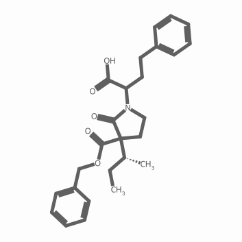 CC[C@@H](C)C1(C(=O)OCc2ccccc2)CCN(C(CCc2ccccc2)C(=O)O)C1=O